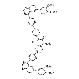 COc1ccc(-c2ccc3ncnc(-c4ccc(N5CCN(C(C)C(=O)C(C)N6CCN(c7ccc(-c8ncnc9ccc(-c%10ccc(OC)c(OC)c%10)cc89)cn7)CC6)CC5)nc4)c3c2)cc1OC